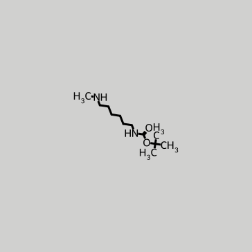 CNCCCCCCNC(=O)OC(C)(C)C